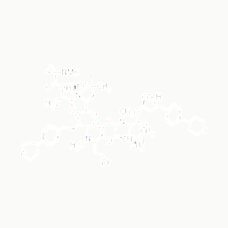 CNC1(C(=O)O[C@H](C)C(=O)N(C)[C@@H](CC(C)(C)F)C(=O)O[C@H](CCc2ccc(C3CCOCC3)cc2)C(=O)N(C)[C@@H](CCC(C)C)C(=O)O[C@H](C)C(=O)N(C)[C@@H](CC(C)(C)F)C(=O)O[C@H](CCc2ccc(C3CCOCC3)cc2)C(=O)O)CC1